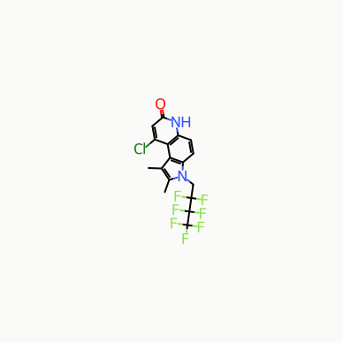 Cc1c(C)n(CC(F)(F)C(F)(F)C(F)(F)F)c2ccc3[nH]c(=O)cc(Cl)c3c12